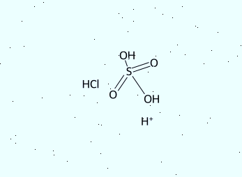 Cl.O=S(=O)(O)O.[H+]